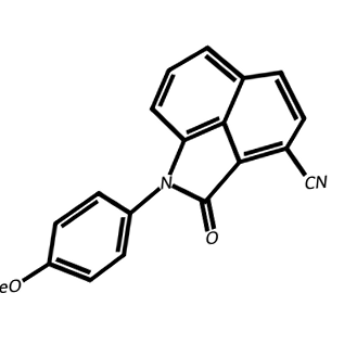 COc1ccc(N2C(=O)c3c(C#N)ccc4cccc2c34)cc1